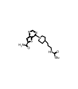 CC(C)(C)C(=O)NCCCC1CCN(c2ncnc3cc(C(N)=O)sc23)CC1